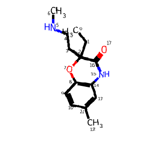 CCC1(CCNC)Oc2ccc(C)cc2NC1=O